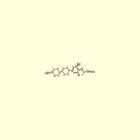 CCCCCCC(C)Oc1c(F)cc(C2CCC(C3CCC(CCC)CC3)CC2)cc1CC